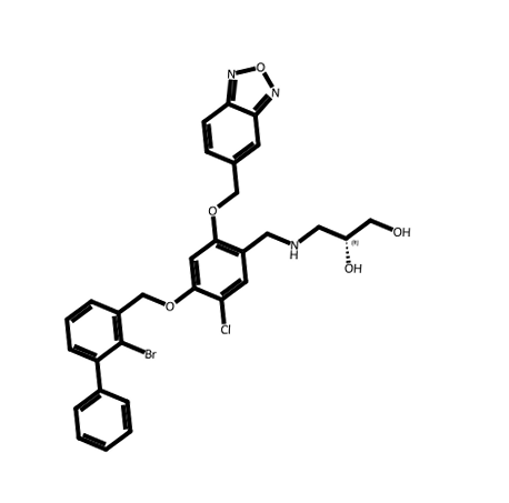 OC[C@H](O)CNCc1cc(Cl)c(OCc2cccc(-c3ccccc3)c2Br)cc1OCc1ccc2nonc2c1